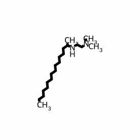 CCCCCCCCCCCCCCC(C)NCCN(C)C